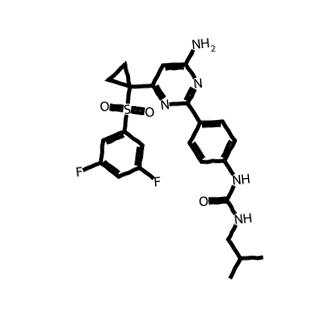 CC(C)CNC(=O)Nc1ccc(-c2nc(N)cc(C3(S(=O)(=O)c4cc(F)cc(F)c4)CC3)n2)cc1